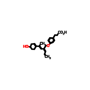 C=C/C=C(\C=C(/C)C1=CCC(O)CC1)COc1ccc(CCC(=O)O)cc1